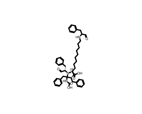 O=CC(Cc1ccccc1)NCCCCCCCCCCC[C@@H](Cc1ccccc1)C(Cc1ccccc1)(NC(=O)O)N(NC(=O)O)[C@H](C=O)Cc1ccccc1